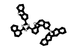 c1ccc2cc3c(cc2c1)c1cc2ccccc2cc1n3-c1ccc2ccc3oc4c(-c5nc(-c6ccc7c(c6)sc6ccccc67)nc(-c6cccc7ccccc67)n5)cccc4c3c2c1